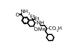 CCC1(CC)c2cc(C(N)=O)ccc2C[C@@H](OC)[C@H]1NCC[C@@H](CC1CCCCC1)C(=O)O